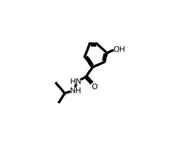 CC(C)NNC(=O)c1cccc(O)c1